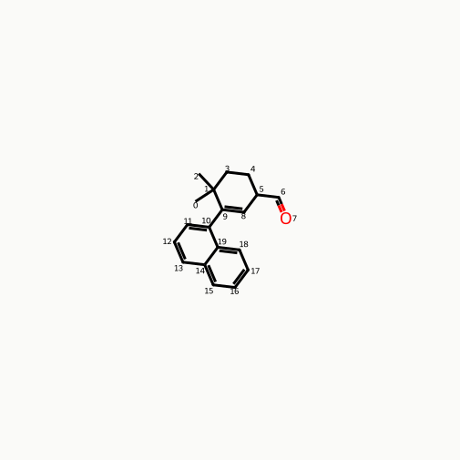 CC1(C)CCC(C=O)C=C1c1cccc2ccccc12